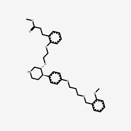 COC(=O)CCc1ccccc1OCCO[C@H]1CNCC[C@@H]1c1ccc(OCCCOCc2ccccc2OC)cc1